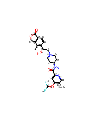 Cc1c([C@@H](O)CN2CCC(NC(=O)c3cc(OC(F)F)c(C#N)cn3)CC2)ccc2c1COC2=O